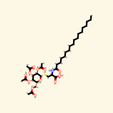 CCCCCCCCCCCCCCCCCC(=O)NC(CS[C@@H]1O[C@H](COC(C)=O)[C@H](OC(C)=O)[C@H](OC(C)=O)[C@H]1OC(C)=O)C(=O)O